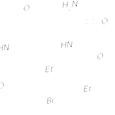 CCC(Br)(CC)C(=O)NC(N)=O.O=C1CCC(=O)N1